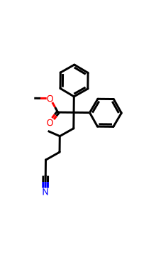 COC(=O)C(CC(C)CCC#N)(c1ccccc1)c1ccccc1